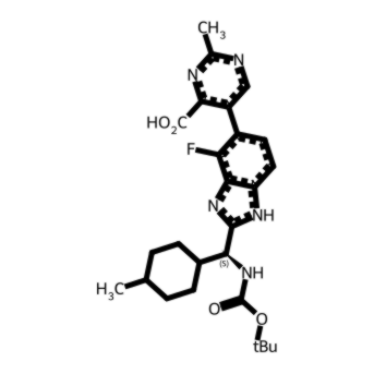 Cc1ncc(-c2ccc3[nH]c([C@@H](NC(=O)OC(C)(C)C)C4CCC(C)CC4)nc3c2F)c(C(=O)O)n1